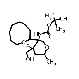 C[C@H]1C[C@@](F)(CO)[C@](NC(=O)OC(C)(C)C)(C2CCCCCCCC2)CO1